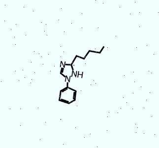 CCCCC[C]1N=CN(c2ccccc2)N1